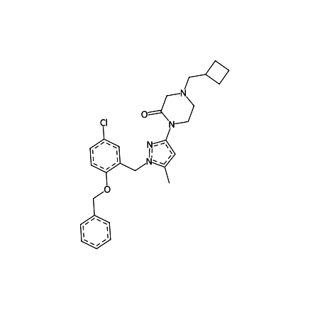 Cc1cc(N2CCN(CC3CCC3)CC2=O)nn1Cc1cc(Cl)ccc1OCc1ccccc1